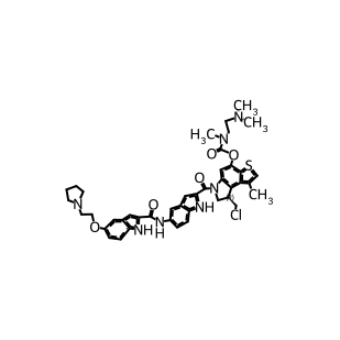 Cc1csc2c(OC(=O)N(C)CCN(C)C)cc3c(c12)[C@@H](CCl)CN3C(=O)c1cc2cc(NC(=O)c3cc4cc(OCCN5CCCC5)ccc4[nH]3)ccc2[nH]1